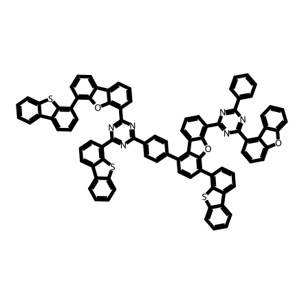 c1ccc(-c2nc(-c3cccc4c3oc3c(-c5cccc6c5sc5ccccc56)ccc(-c5ccc(-c6nc(-c7cccc8c7oc7c(-c9cccc%10c9sc9ccccc9%10)cccc78)nc(-c7cccc8c7sc7ccccc78)n6)cc5)c34)nc(-c3cccc4oc5ccccc5c34)n2)cc1